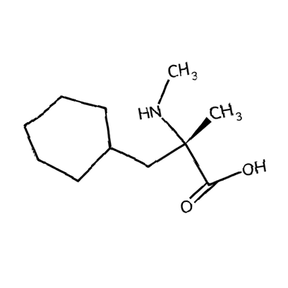 CN[C@@](C)(CC1CCCCC1)C(=O)O